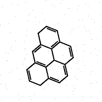 C1=CC2=C3C(=CC4=C5C(=CC=C(C=C2)C35)CC=C4)C1